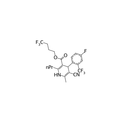 CCCC1=C(C(=O)OCCCC(F)(F)F)C(c2ccc(F)cc2C(F)(F)F)C(C#N)=C(C)N1